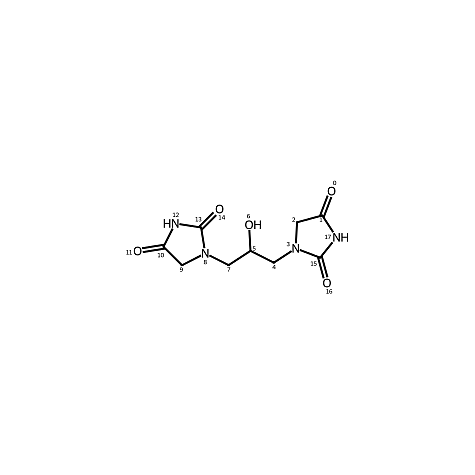 O=C1CN(CC(O)CN2CC(=O)NC2=O)C(=O)N1